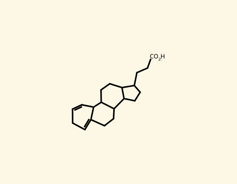 O=C(O)CCC1CCC2C1CCC1C3C=CCC=C3CCC12